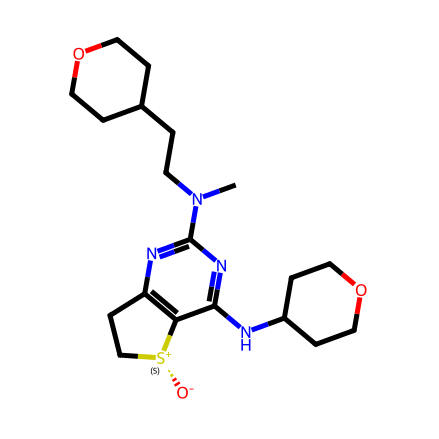 CN(CCC1CCOCC1)c1nc2c(c(NC3CCOCC3)n1)[S@+]([O-])CC2